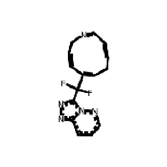 FC(F)(C1=C/C/C=C\C=N/C/C=C\1)c1nnc2cccnn12